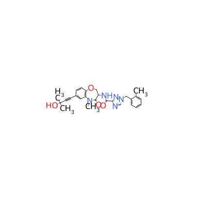 Cc1ccccc1Cn1cnc(C(=O)NC2COc3ccc(C#CC(C)(C)O)cc3N(C)C2=O)n1